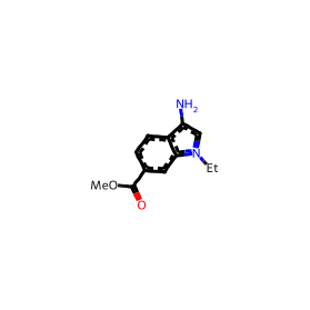 CCn1cc(N)c2ccc(C(=O)OC)cc21